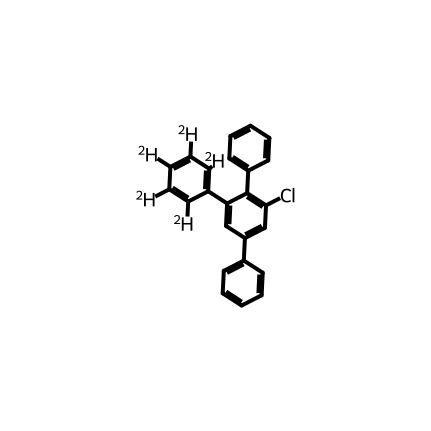 [2H]c1c([2H])c([2H])c(-c2cc(-c3ccccc3)cc(Cl)c2-c2ccccc2)c([2H])c1[2H]